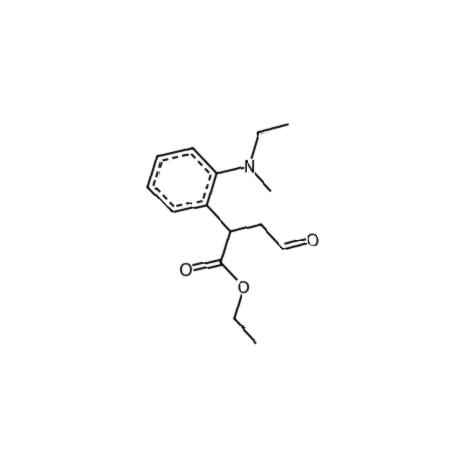 CCOC(=O)C(CC=O)c1ccccc1N(C)CC